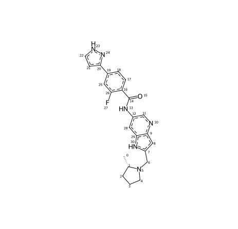 C[C@H]1CCCN1Cc1cc2ncc(NC(=O)c3ccc(-c4cc[nH]n4)cc3F)cc2[nH]1